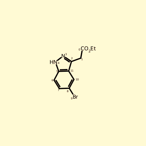 CCOC(=O)Cc1n[nH]c2ccc(Br)cc12